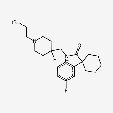 CC(C)(C)CCN1CCC(F)(CNC(=O)C2(c3cccc(F)c3)CCCCC2)CC1